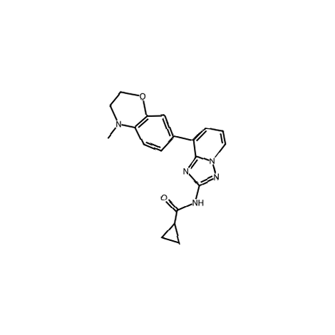 CN1CCOc2cc(-c3cccn4nc(NC(=O)C5CC5)nc34)ccc21